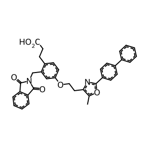 Cc1oc(-c2ccc(-c3ccccc3)cc2)nc1CCOc1ccc(CCC(=O)O)c(CN2C(=O)c3ccccc3C2=O)c1